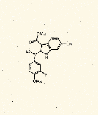 CCN(c1ccc(OC)c(F)c1)c1[nH]c2cc(C#N)ccc2c1C(=O)OC